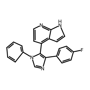 Fc1ccc(-c2ncn(-c3ccccc3)c2-c2ccnc3[nH]ccc23)cc1